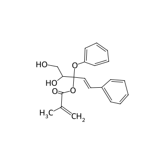 C=C(C)C(=O)OC(C=Cc1ccccc1)(Oc1ccccc1)C(O)CO